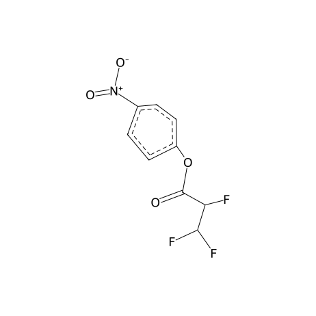 O=C(Oc1ccc([N+](=O)[O-])cc1)C(F)C(F)F